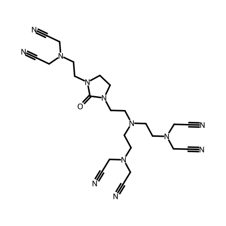 N#CCN(CC#N)CCN(CCN(CC#N)CC#N)CCN1CCN(CCN(CC#N)CC#N)C1=O